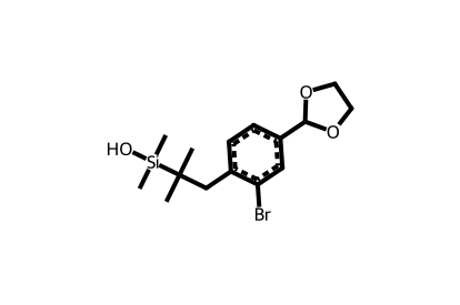 CC(C)(Cc1ccc(C2OCCO2)cc1Br)[Si](C)(C)O